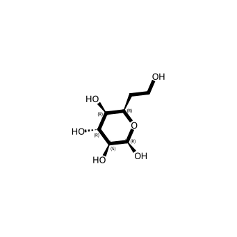 OCC[C@H]1O[C@@H](O)[C@@H](O)[C@H](O)[C@H]1O